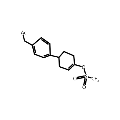 CC(=O)Cc1ccc(C2CC=C(OS(=O)(=O)C(F)(F)F)CC2)cc1